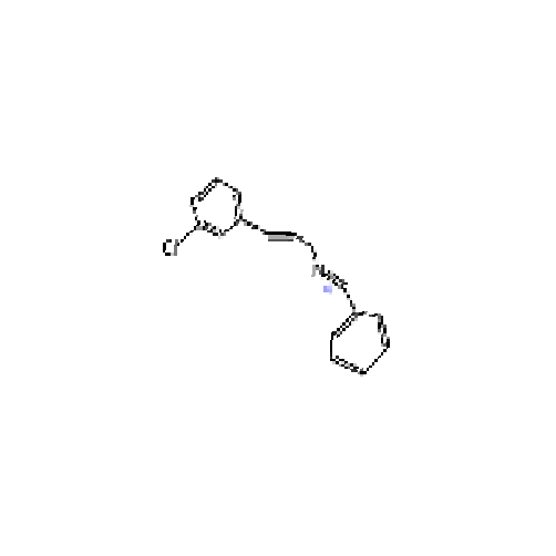 Clc1cccc(C#CC/N=C/c2ccccc2)c1